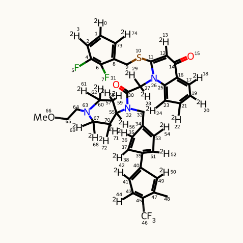 [2H]c1c([2H])c(F)c(F)c(CSc2c([2H])c(=O)c3c([2H])c([2H])c([2H])c([2H])c3n2C([2H])([2H])C(=O)N(Cc2c([2H])c([2H])c(-c3c([2H])c([2H])c(C(F)(F)F)c(C)c3[2H])c([2H])c2[2H])C2([2H])C([2H])([2H])C([2H])([2H])N(CCOC)C([2H])([2H])C2([2H])[2H])c1[2H]